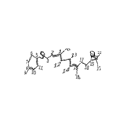 CC(=CCSc1ccc(C)cc1)CCC=C(C)CCC1OC1(C)C